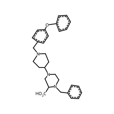 O=C(O)C1CN(C2CCN(Cc3ccc(Oc4ccccc4)cc3)CC2)CCN1Cc1ccccc1